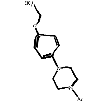 CCOC(=O)COc1ccc(N2CCN(C(C)=O)CC2)cc1